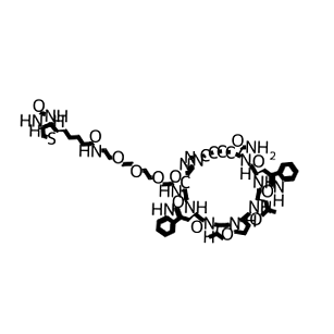 CC(C)C[C@H]1NC(=O)[C@H]2CCCN2C(=O)[C@@H](C(C)C)NC(=O)[C@@H](Cc2c[nH]c3ccccc23)NC(=O)[C@@H](NC(=O)COCCOCCOCCNC(=O)CCCC[C@H]2SC[C@H]3NC(=O)N[C@H]32)Cc2cn(nn2)CCCC[C@@H](C(N)=O)NC(=O)[C@@H](Cc2c[nH]c3ccccc23)NC1=O